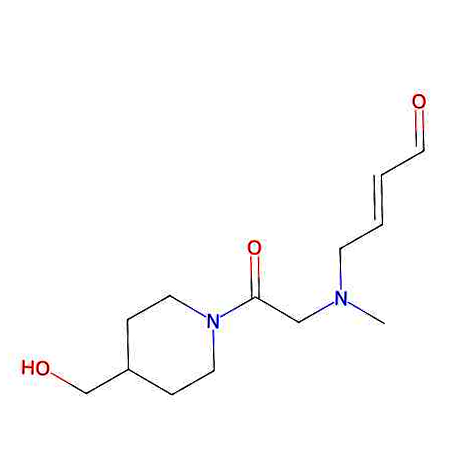 CN(C/C=C/C=O)CC(=O)N1CCC(CO)CC1